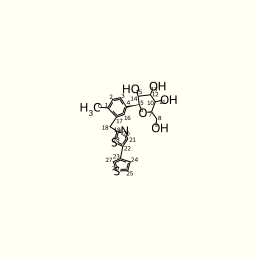 Cc1ccc([C@@H]2OC(CO)C(O)C(O)C2O)cc1Cc1ncc(-c2ccsc2)s1